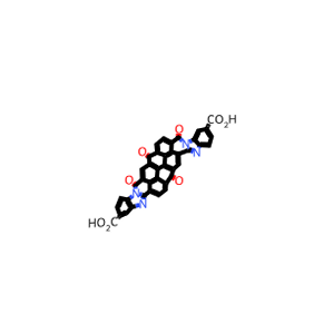 O=C(O)c1ccc2c(c1)nc1c3ccc4c(=O)c5cc6c7c(ccc8c(=O)c9cc(c(=O)n21)c3c4c9c5c87)c(=O)n1c2cc(C(=O)O)ccc2nc61